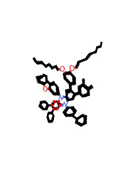 CCCCCCCCOc1ccc(-c2cc(N(c3ccc(-c4ccccc4)cc3)c3ccc4c(c3)oc3ccccc34)c(N(c3ccc(-c4ccccc4)cc3)c3ccc(-c4ccccc4)cc3)cc2-c2ccc(C)c(C)c2)cc1OCCCCCCCC